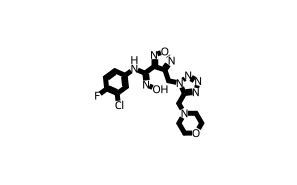 ON=C(Nc1ccc(F)c(Cl)c1)c1nonc1Cn1nnnc1CN1CCOCC1